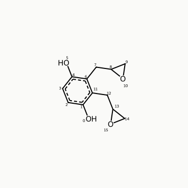 Oc1ccc(O)c(CC2CO2)c1CC1CO1